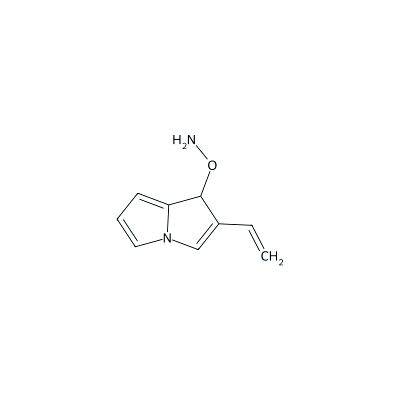 C=CC1=Cn2cccc2C1ON